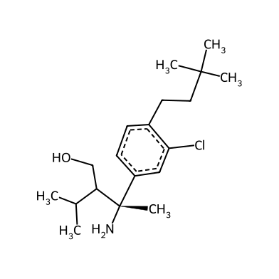 CC(C)C(CO)[C@@](C)(N)c1ccc(CCC(C)(C)C)c(Cl)c1